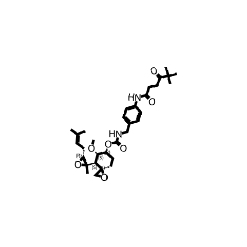 CO[C@H]1[C@H](C2(C)O[C@@H]2CC=C(C)C)[C@]2(CC[C@H]1OC(=O)NCc1ccc(NC(=O)CCC(=O)C(C)(C)C)cc1)CO2